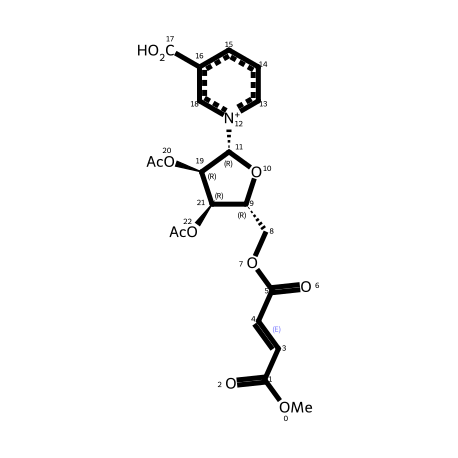 COC(=O)/C=C/C(=O)OC[C@H]1O[C@@H]([n+]2cccc(C(=O)O)c2)[C@H](OC(C)=O)[C@@H]1OC(C)=O